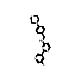 Clc1cncc(-c2nccc(NCc3ccc(N4CCOCC4)cc3)n2)c1